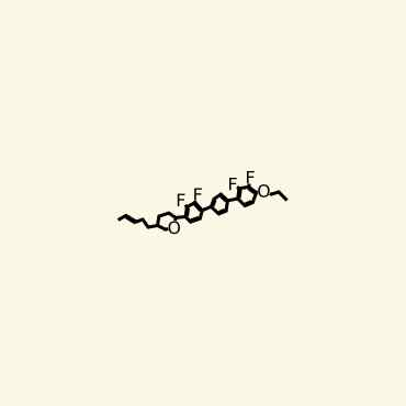 C/C=C/CCC1CCC(c2ccc(-c3ccc(-c4ccc(OCCC)c(F)c4F)cc3)c(F)c2F)OC1